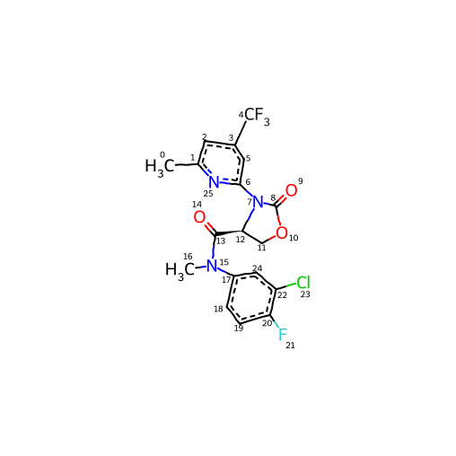 Cc1cc(C(F)(F)F)cc(N2C(=O)OC[C@H]2C(=O)N(C)c2ccc(F)c(Cl)c2)n1